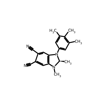 Cc1cc(N2c3cc(C#N)c(C#N)cc3N(C)[C@@H]2C)cc(C)c1C